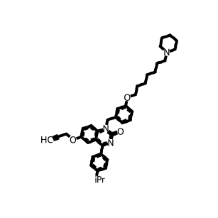 C#CCOc1ccc2c(c1)c(-c1ccc(C(C)C)cc1)nc(=O)n2Cc1cccc(OCCCCCCCN2CCCCC2)c1